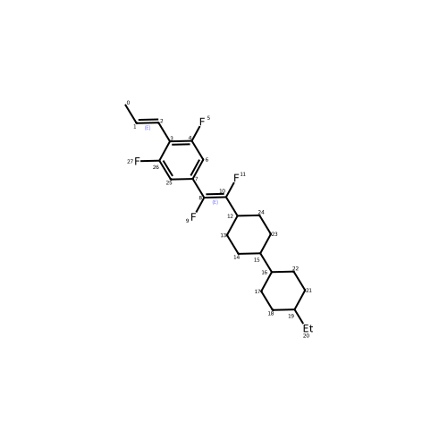 C/C=C/c1c(F)cc(/C(F)=C(\F)C2CCC(C3CCC(CC)CC3)CC2)cc1F